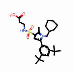 Cc1c(S(=O)(=O)NCCC(=O)O)cc(-c2cc(C(C)(C)C)cc(C(C)(C)C)c2)n1CC1CCCCC1